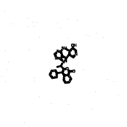 Cc1c(O)cncc1-c1nn(C(C)c2oc(=O)c3ccccc3c2-c2ccccc2)c2ncnc(N)c12